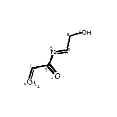 C=CC(=O)N=CCO